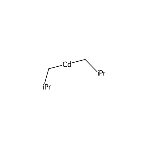 CC(C)[CH2][Cd][CH2]C(C)C